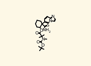 CN(C(=O)OC(C)(C)C)C(C)(C)C(=O)OC1CCCCC1(C(N)=S)c1ccc2nccn2c1